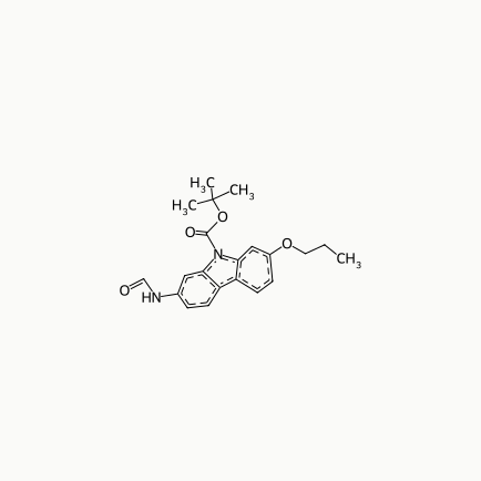 CCCOc1ccc2c3ccc(NC=O)cc3n(C(=O)OC(C)(C)C)c2c1